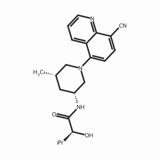 CC(C)[C@H](O)C(=O)N[C@@H]1C[C@H](C)CN(c2ccc(C#N)c3ncccc23)C1